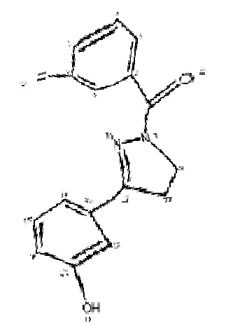 O=C(c1cccc(F)c1)N1CCC(c2cccc(O)c2)=N1